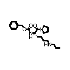 C=CCNCCCC[C@H](NC(=O)OCc1ccccc1)C(=O)N1CCCC1